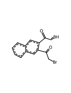 B=CC(=O)c1cc2ccccc2cc1C(=O)CBr